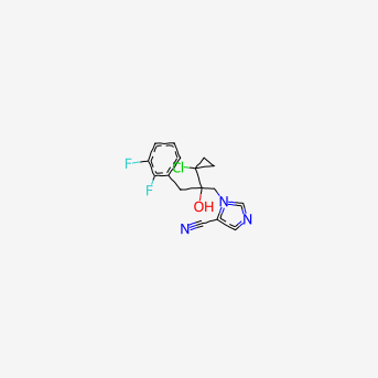 N#Cc1cncn1CC(O)(Cc1cccc(F)c1F)C1(Cl)CC1